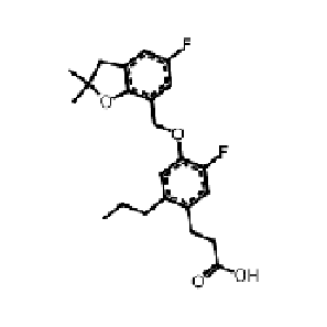 CCCc1cc(OCc2cc(F)cc3c2OC(C)(C)C3)c(F)cc1CCC(=O)O